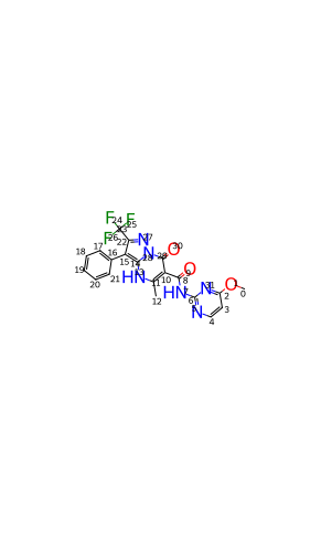 COc1ccnc(NC(=O)c2c(C)[nH]c3c(-c4ccccc4)c(C(F)(F)F)nn3c2=O)n1